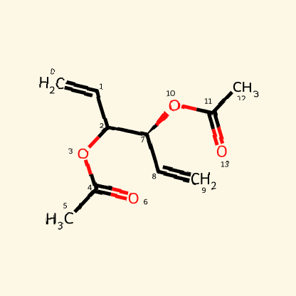 C=CC(OC(C)=O)[C@H](C=C)OC(C)=O